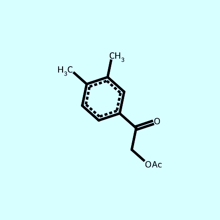 CC(=O)OCC(=O)c1ccc(C)c(C)c1